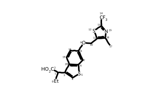 CCC(C(=O)O)c1csc2cc(OCc3sc(C(F)(F)F)nc3C)ccc12